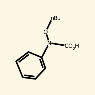 CCCCON(C(=O)O)c1ccccc1